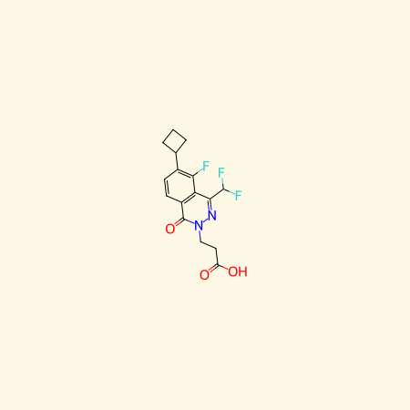 O=C(O)CCn1nc(C(F)F)c2c(F)c(C3CCC3)ccc2c1=O